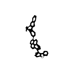 CC1(C)c2cc(-c3ccc4ccc5c(-c6cccc7oc8ccccc8c67)ccc6ccc3c4c65)ccc2-c2cc3ccccc3cc21